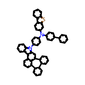 c1ccc(-c2ccc(N(c3ccc(-n4c5ccccc5c5c6cccc7c6c(cc54)-c4ccccc4-c4ccccc4-7)cc3)c3ccc4c(c3)sc3ccccc34)cc2)cc1